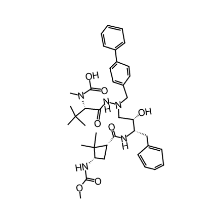 COC(=O)N[C@H]1C[C@@H](C(=O)N[C@@H](Cc2ccccc2)[C@@H](O)CN(Cc2ccc(-c3ccccc3)cc2)NC(=O)[C@@H](N(C)C(=O)O)C(C)(C)C)C1(C)C